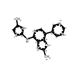 Cc1csc(Nc2ncc(-c3cncnc3)c3sc(C)nc23)n1